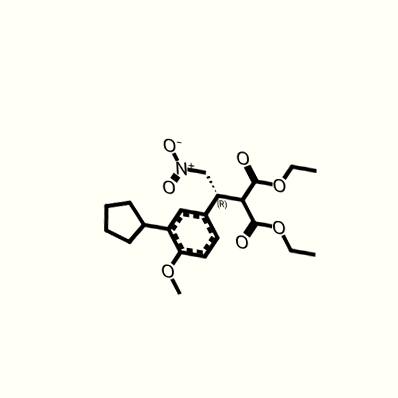 CCOC(=O)C(C(=O)OCC)[C@@H](C[N+](=O)[O-])c1ccc(OC)c(C2CCCC2)c1